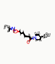 C/C(=N\OCCCCCC(=O)N1CCC(C(C)(C)C)CC1)C(C)C